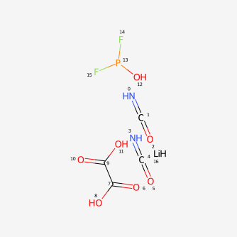 N=C=O.N=C=O.O=C(O)C(=O)O.OP(F)F.[LiH]